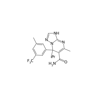 CC1=C(C(N)=O)C(c2cc(C)cc(C(F)(F)F)c2)(C(C)C)N2N=CNC2=N1